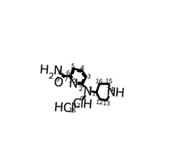 CN(c1cccc(C(N)=O)n1)C1CCNCC1.Cl.Cl